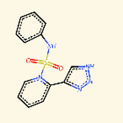 O=S(=O)(Nc1ccccc1)[n+]1ccccc1-c1c[nH]nn1